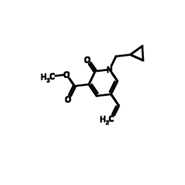 C=Cc1cc(C(=O)OC)c(=O)n(CC2CC2)c1